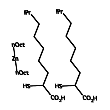 CC(C)CCCCCC(S)C(=O)O.CC(C)CCCCCC(S)C(=O)O.CCCCCCC[CH2][Zn][CH2]CCCCCCC